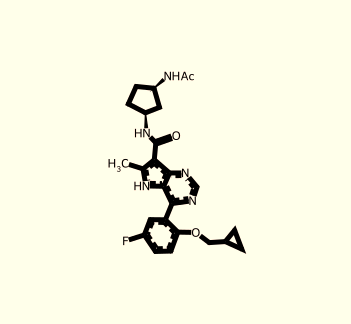 CC(=O)N[C@@H]1CC[C@H](NC(=O)c2c(C)[nH]c3c(-c4cc(F)ccc4OCC4CC4)ncnc23)C1